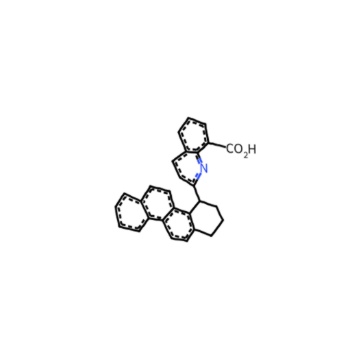 O=C(O)c1cccc2ccc(C3CCCc4ccc5c(ccc6ccccc65)c43)nc12